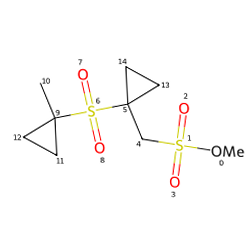 COS(=O)(=O)CC1(S(=O)(=O)C2(C)CC2)CC1